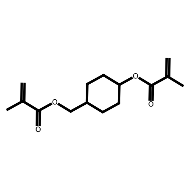 C=C(C)C(=O)OCC1CCC(OC(=O)C(=C)C)CC1